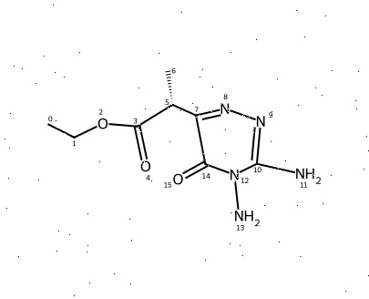 CCOC(=O)[C@H](C)c1nnc(N)n(N)c1=O